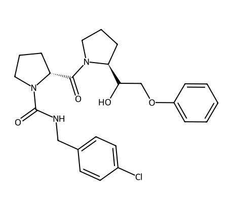 O=C(NCc1ccc(Cl)cc1)N1CCC[C@@H]1C(=O)N1CCC[C@H]1C(O)COc1ccccc1